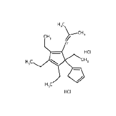 CCC1=C(CC)C(CC)(C2=CC=CC2)[C]([Zr]=[C](C)C)=C1CC.Cl.Cl